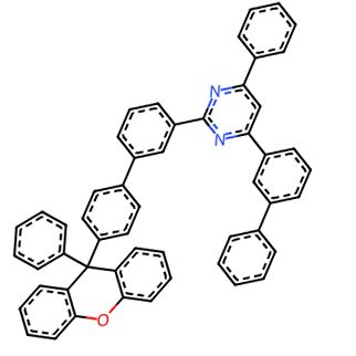 c1ccc(-c2cccc(-c3cc(-c4ccccc4)nc(-c4cccc(-c5ccc(C6(c7ccccc7)c7ccccc7Oc7ccccc76)cc5)c4)n3)c2)cc1